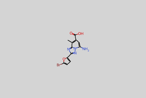 Cc1c(C(=O)O)cc(N)n2nc(-c3ccc(Br)o3)nc12